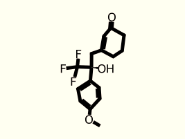 COc1ccc([C@](O)(CC2=CC(=O)CCC2)C(F)(F)F)cc1